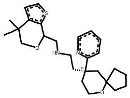 CC1(C)COC(CNCC[C@@]2(c3ccccn3)CCOC3(CCCC3)C2)c2sccc21